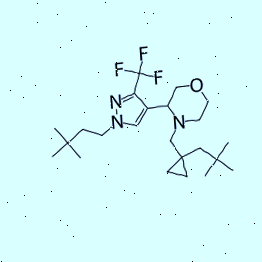 CC(C)(C)CCn1cc(C2COCCN2CC2(CC(C)(C)C)CC2)c(C(F)(F)F)n1